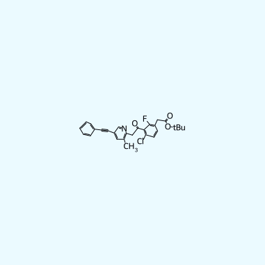 Cc1cc(C#Cc2ccccc2)cnc1CC(=O)c1c(Cl)ccc(CC(=O)OC(C)(C)C)c1F